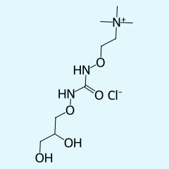 C[N+](C)(C)CCONC(=O)NOCC(O)CO.[Cl-]